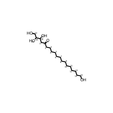 O=C(CCCCCCCCCCCCCCO)CC(O)C(O)CO